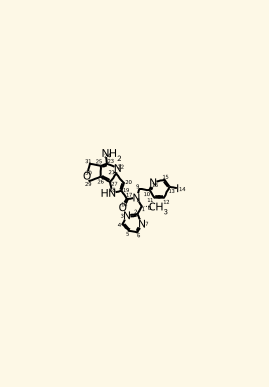 C[C@H](c1ncccn1)N(Cc1ccc(I)cn1)C(=O)c1cc2nc(N)c3c(c2[nH]1)COC3